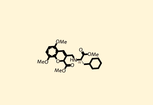 COC(=O)C1Oc2c(OC)ccc(OC)c2C=C1CN[C@@H](CC1CCCCC1)C(=O)OC